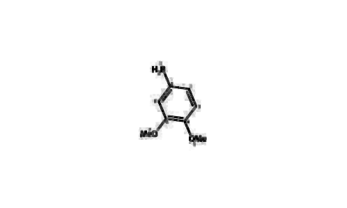 Bc1ccc(OC)c(OC)c1